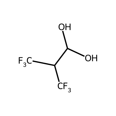 OC(O)C(C(F)(F)F)C(F)(F)F